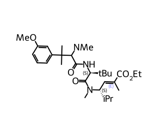 CCOC(=O)/C(C)=C/[C@H](C(C)C)N(C)C(=O)[C@@H](NC(=O)C(NC)C(C)(C)c1cccc(OC)c1)C(C)(C)C